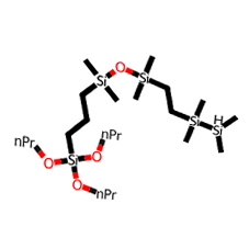 CCCO[Si](CCC[Si](C)(C)O[Si](C)(C)CC[Si](C)(C)[SiH](C)C)(OCCC)OCCC